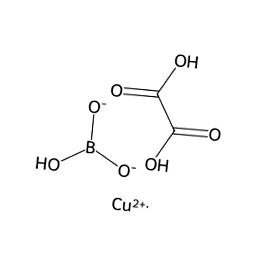 O=C(O)C(=O)O.[Cu+2].[O-]B([O-])O